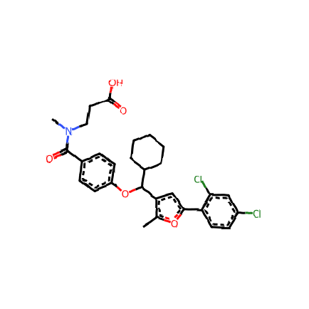 Cc1oc(-c2ccc(Cl)cc2Cl)cc1C(Oc1ccc(C(=O)N(C)CCC(=O)O)cc1)C1CCCCC1